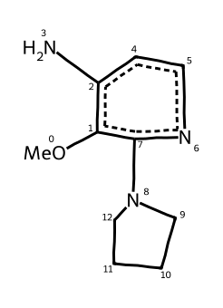 COc1c(N)ccnc1N1CCCC1